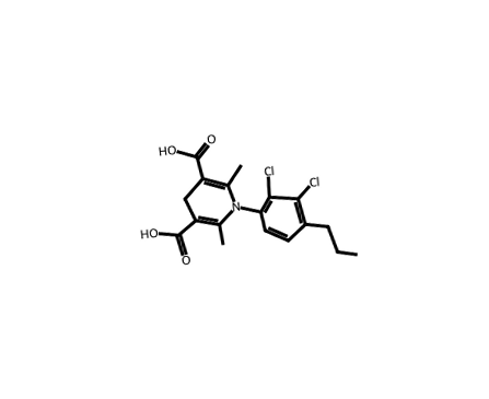 CCCc1ccc(N2C(C)=C(C(=O)O)CC(C(=O)O)=C2C)c(Cl)c1Cl